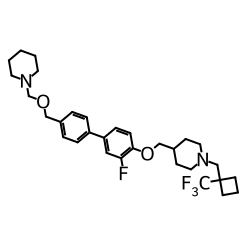 Fc1cc(-c2ccc(COCN3CCCCC3)cc2)ccc1OCC1CCN(CC2(C(F)(F)F)CCC2)CC1